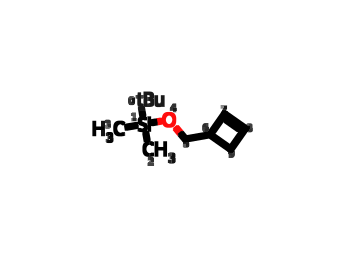 CC(C)(C)[Si](C)(C)OCC1C=CC1